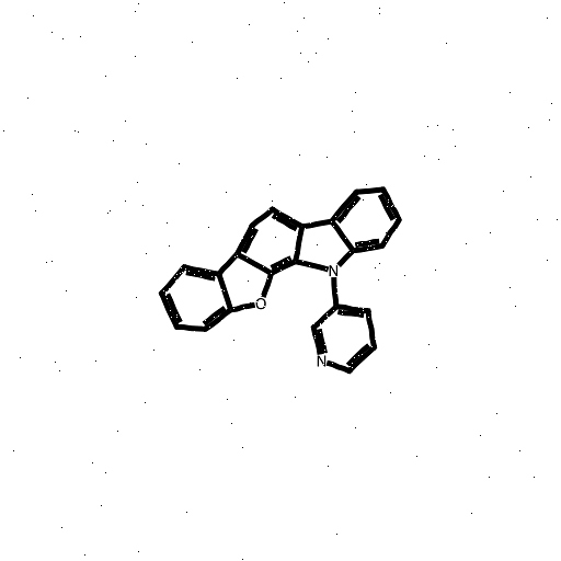 c1cncc(-n2c3ccccc3c3ccc4c5ccccc5oc4c32)c1